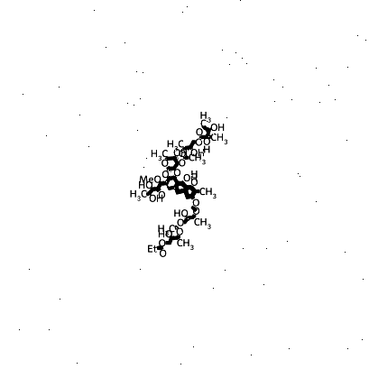 CCC(=O)OC[C@H](O)C(C)OC(C)OC[C@H](O)C(C)OCOc1cc2cc3c(c(O)c2c(O)c1C)C(=O)[C@@H](O[C@H]1CC(OC(C)OC(C)[C@H](O)COC2OC(C)[C@@H](O)C2(C)O)[C@H](O)C(C)O1)[C@H]([C@H](OC)C(=O)[C@@H](O)[C@@H](C)O)C3